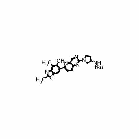 Cc1nc2c(C)c(O)c(-c3ccc4nc(N5CC[C@@H](NC(C)(C)C)C5)ncc4n3)cc2o1